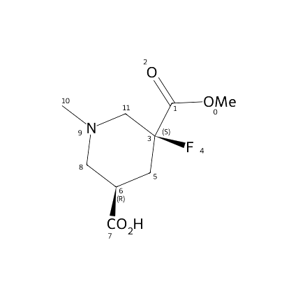 COC(=O)[C@]1(F)C[C@@H](C(=O)O)CN(C)C1